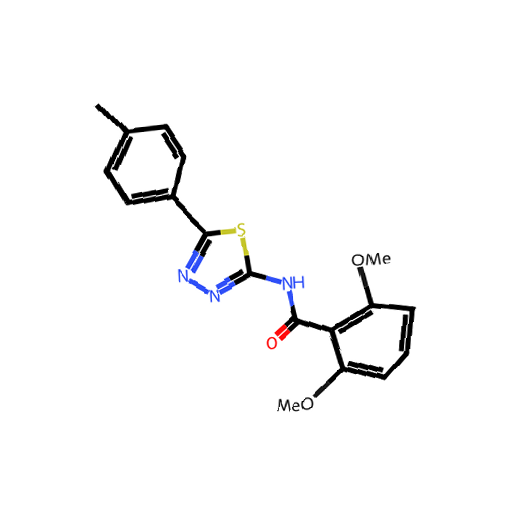 COc1cccc(OC)c1C(=O)Nc1nnc(-c2ccc(C)cc2)s1